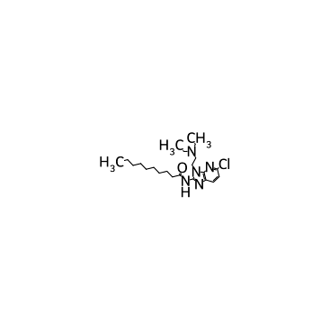 CCCCCCCCCC(=O)Nc1nc2ccc(Cl)nc2n1CCN(CC)CC